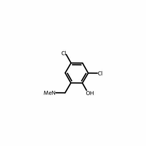 CNCc1cc(Cl)cc(Cl)c1O